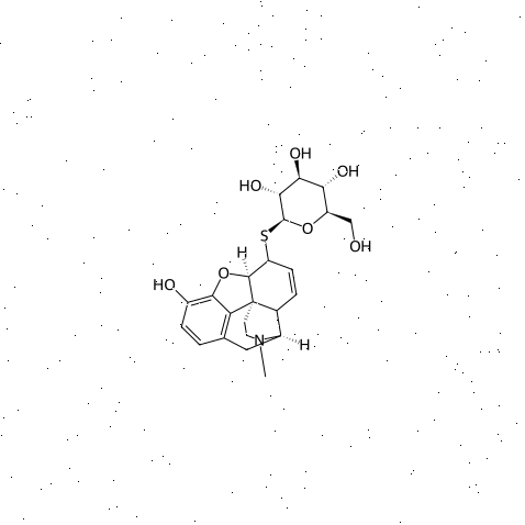 CN1CC[C@]23c4c5ccc(O)c4O[C@H]2C(S[C@@H]2O[C@H](CO)[C@@H](O)[C@H](O)[C@H]2O)C=CC3[C@H]1C5